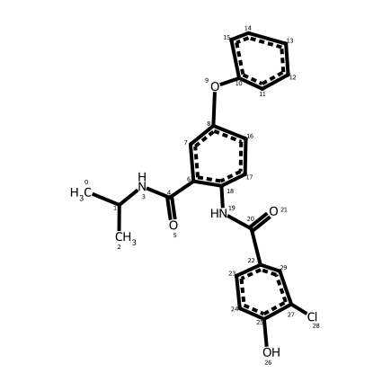 CC(C)NC(=O)c1cc(Oc2ccccc2)ccc1NC(=O)c1ccc(O)c(Cl)c1